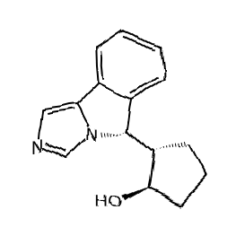 O[C@@H]1CCC[C@H]1[C@H]1c2ccccc2-c2cncn21